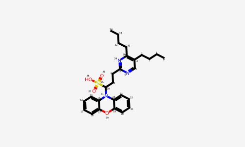 CCCCc1cnc(CCC(N2c3ccccc3Oc3ccccc32)S(=O)(=O)O)nc1CCCC